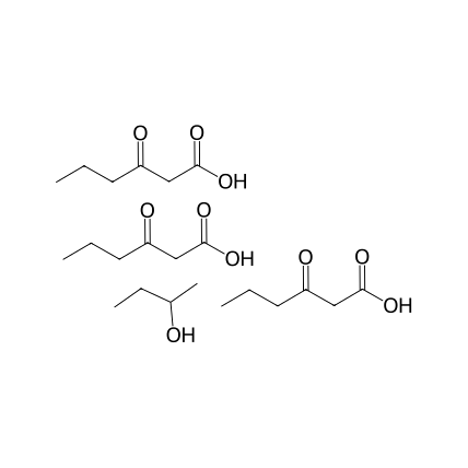 CCC(C)O.CCCC(=O)CC(=O)O.CCCC(=O)CC(=O)O.CCCC(=O)CC(=O)O